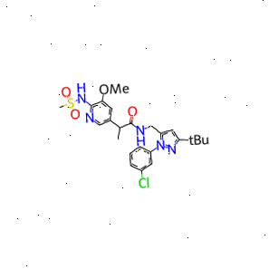 COc1cc(C(C)C(=O)NCc2cc(C(C)(C)C)nn2-c2cccc(Cl)c2)cnc1NS(C)(=O)=O